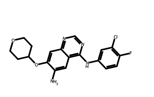 Nc1cc2c(Nc3ccc(F)c(Cl)c3)ncnc2cc1OC1CCOCC1